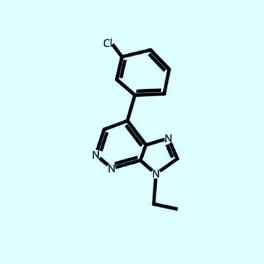 CCn1cnc2c(-c3cccc(Cl)c3)cnnc21